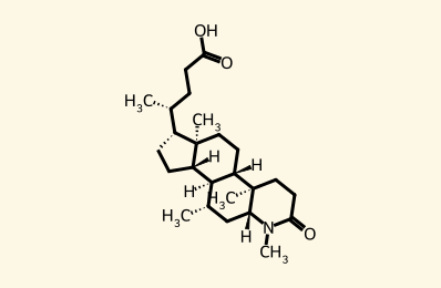 C[C@H](CCC(=O)O)[C@H]1CC[C@H]2[C@@H]3[C@@H](C)C[C@H]4N(C)C(=O)CC[C@]4(C)[C@H]3CC[C@]12C